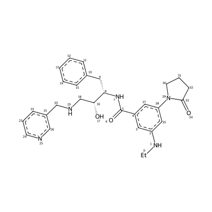 CCNc1cc(C(=O)N[C@@H](Cc2ccccc2)[C@H](O)CNCc2cccnc2)cc(N2CCCC2=O)c1